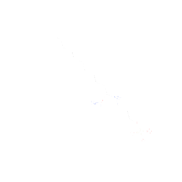 CCCCCCCCCCC(=O)NCCCOS(=O)(=O)OC.N